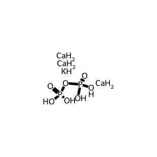 O=P(O)(O)OP(=O)(O)O.[CaH2].[CaH2].[CaH2].[KH]